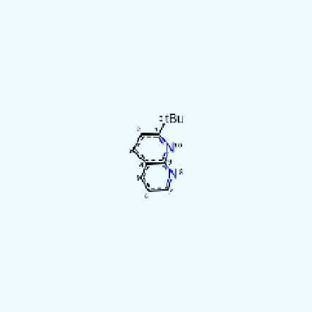 CC(C)(C)c1ccc2cccnc2n1